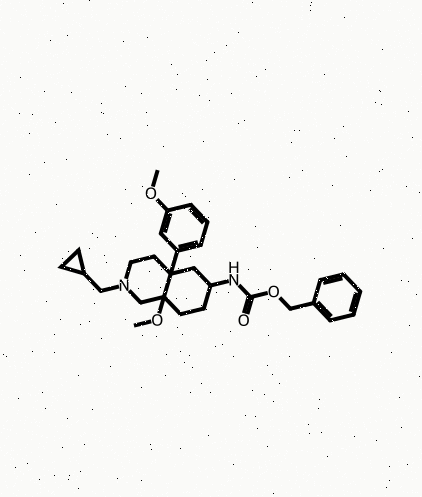 COc1cccc(C23CCN(CC4CC4)CC2(OC)CCC(NC(=O)OCc2ccccc2)C3)c1